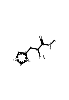 CNC(=O)C(N)Cc1cscn1